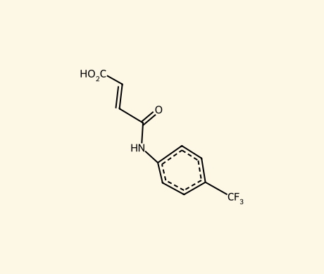 O=C(O)/C=C/C(=O)Nc1ccc(C(F)(F)F)cc1